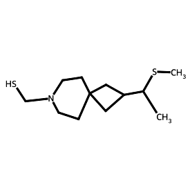 CSC(C)C1CC2(CCN(CS)CC2)C1